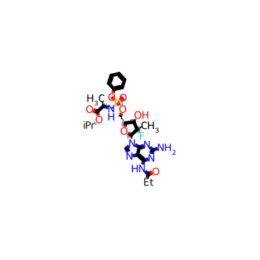 CCC(=O)Nc1nc(N)nc2c1ncn2[C@@H]1O[C@H](CO[P@@](=O)(N[C@@H](C)C(=O)OC(C)C)Oc2ccccc2)[C@@H](O)[C@@]1(C)F